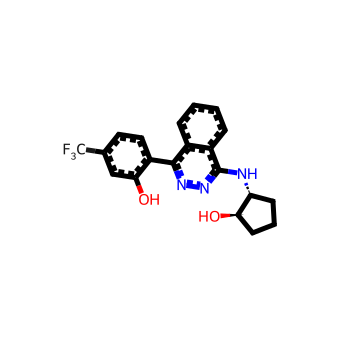 Oc1cc(C(F)(F)F)ccc1-c1nnc(N[C@@H]2CCC[C@H]2O)c2ccccc12